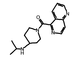 CC(C)NC1CCN(C(=O)c2nccc3ncccc23)CC1